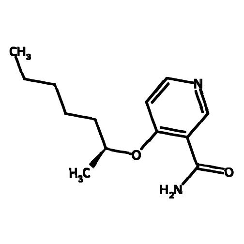 CCCCC[C@H](C)Oc1ccncc1C(N)=O